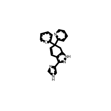 C1=CC(c2ccccc2)(c2ccccn2)Cc2[nH]nc(-c3c[nH]cn3)c21